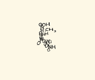 CCC[C@H](NC(=O)c1cc(OCC(=O)N2CCC[C@H]2C(=O)NC2CCC2)n(-c2ccccc2)n1)C(=O)N1CCN(C(=O)O)CC1